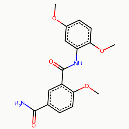 COc1ccc(OC)c(NC(=O)c2cc(C(N)=O)ccc2OC)c1